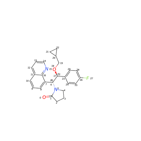 O=C1CCCN1[C@H](c1cccc2cccnc12)[C@@H](OCC1CC1)c1ccc(F)cc1